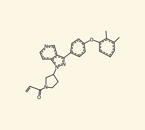 C=CC(=O)N1CCC(n2nc(-c3ccc(Oc4cccc(C)c4C)cc3)c3cnccc32)C1